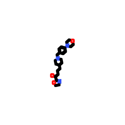 O=C(CCCC1CCN(Cc2ccc(N3CCOCC3)cc2)CC1)C1=NCCO1